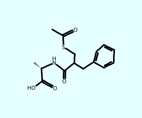 CC(=O)SCC(Cc1ccccc1)C(=O)N[C@@H](C)C(=O)O